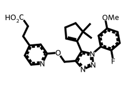 COc1ccc(F)c(-n2nnc(COc3cc(CCC(=O)O)ccn3)c2C2=CCCC2(C)C)c1